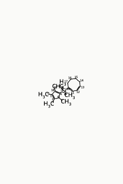 CC1=C(C)C(C)C([Si](C)(C)/C2=C/C=C\CCCC2)=C1C